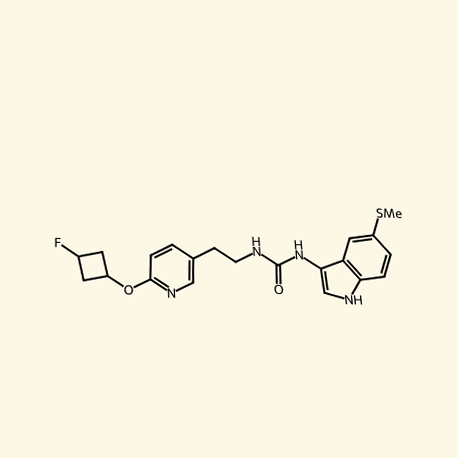 CSc1ccc2[nH]cc(NC(=O)NCCc3ccc(OC4CC(F)C4)nc3)c2c1